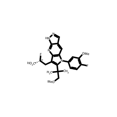 COCC(C)(C)c1c(C[C@@H](F)C(=O)O)c2nc3[nH]ncc3cc2n1-c1ccc(F)c(OC)c1